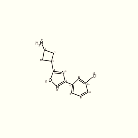 NC1CC(c2nc(-c3cccc(Cl)c3)no2)C1